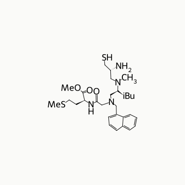 CC[C@H](C)[C@@H](CN(CC(=O)N[C@@H](CCSC)C(=O)OC)Cc1cccc2ccccc12)N(C)C[C@@H](N)CS